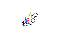 CC1(C)CCc2ccc(-c3ccccc3C(F)(F)F)cc2C1OC(N)=O